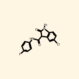 CC(=O)N1C(=O)C(C(=O)Nc2ccc(F)cc2)c2cc(Cl)ccc21